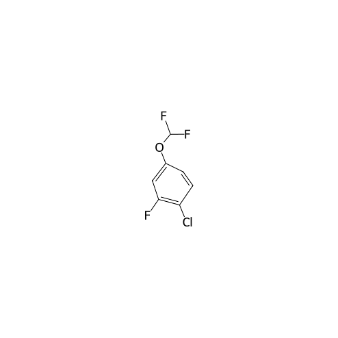 Fc1cc(OC(F)F)ccc1Cl